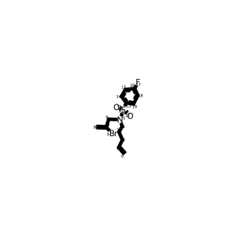 C=CCCCN(CC(=C)Br)S(=O)(=O)c1ccc(F)cc1